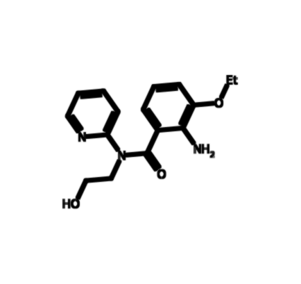 CCOc1cccc(C(=O)N(CCO)c2ccccn2)c1N